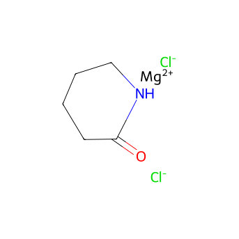 O=C1CCCCN1.[Cl-].[Cl-].[Mg+2]